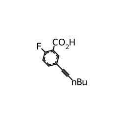 CCCCC#Cc1ccc(F)c(C(=O)O)c1